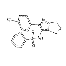 O=S(=O)(Nc1c2c(nn1-c1ccc(Cl)cc1)CSC2)c1ccccc1